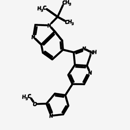 COc1cc(-c2cnc3[nH]nc(-c4ccc5ncn(C(C)(C)C)c5c4)c3c2)ccn1